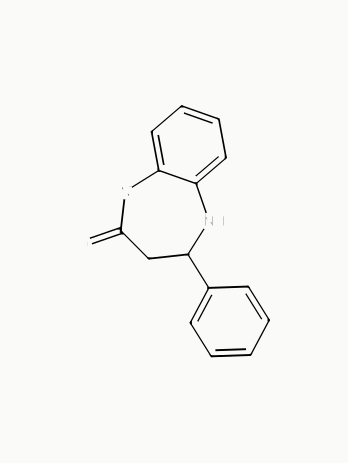 O=C1CC(c2ccccc2)Nc2ccccc2N1